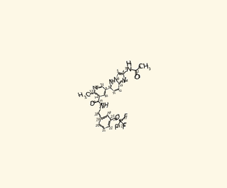 CC(=O)Nc1cn2nc(-c3cnc(C)c(C(=O)NCc4cccc(OC(F)(F)F)c4)c3)ccc2n1